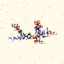 CC(C)(C)OC(=O)Nc1nc(/C(=N/OC(COc2ccc(-c3cn(CCCN)[n+](CC4(F)CN(C(=O)OC(C)(C)C)C4)c3)cc2)C(=O)OC(C)(C)C)C(=O)N[C@@H]2C(=O)N(OS(=O)(=O)[O-])C2(C)C)cs1